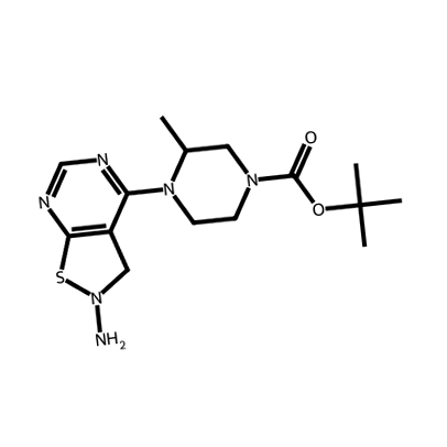 CC1CN(C(=O)OC(C)(C)C)CCN1c1ncnc2c1CN(N)S2